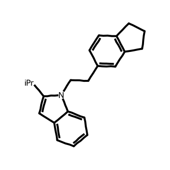 CC(C)c1cc2ccccc2n1CCc1ccc2c(c1)CCC2